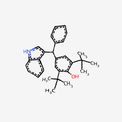 CC(C)(C)c1cc(C(c2ccccc2)c2c[nH]c3ccccc23)cc(C(C)(C)C)c1O